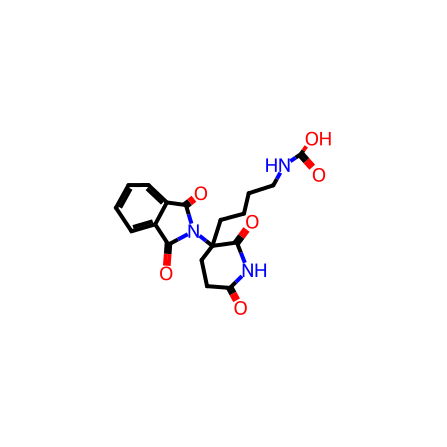 O=C(O)NCCCCC1(N2C(=O)c3ccccc3C2=O)CCC(=O)NC1=O